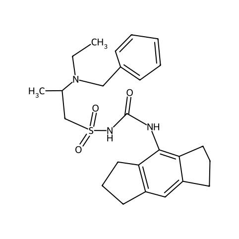 CCN(Cc1ccccc1)C(C)CS(=O)(=O)NC(=O)Nc1c2c(cc3c1CCC3)CCC2